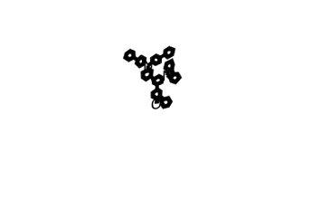 c1ccc(-c2ccc(N(c3ccc(-c4ccccc4)cc3)c3cccc(-c4cc(-c5ccc6oc7ccccc7c6c5)cc(-n5c6ccccc6c6ccccc65)c4)c3)cc2)cc1